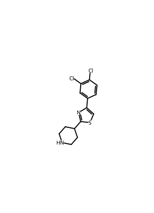 Clc1ccc(-c2csc(C3CCNCC3)n2)cc1Cl